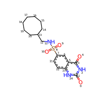 O=c1[nH]c(=O)c2cc(S(=O)(=O)NCC3CCCCCCC3)ccc2[nH]1